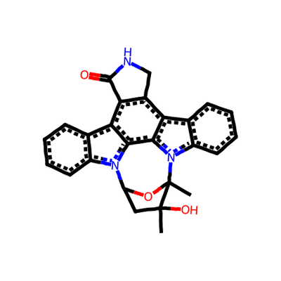 CC1(O)CC2OC1(C)n1c3ccccc3c3c4c(c5c6ccccc6n2c5c31)C(=O)NC4